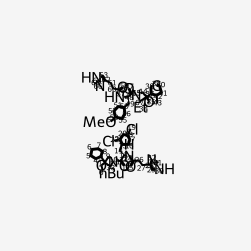 CCCCOC1(c2ccccc2)CN(C(=O)[C@@H](Cc2ccc(Cl)cc2Cl)NC(=O)CCc2c[nH]cn2)C1.CCOC1(c2ccccc2C)CN(C(=O)[C@@H](Cc2ccc(OC)cc2)NC(=O)CCc2c[nH]cn2)C1